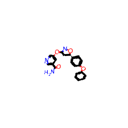 NC(=O)c1cncc(OC2=NO[C@H](c3ccc(Oc4ccccc4)cc3)C2)c1